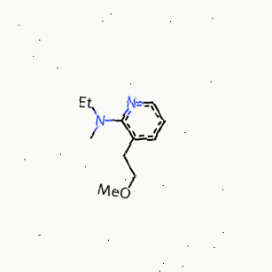 CCN(C)c1ncccc1CCOC